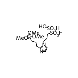 CO[Si](CCCc1nccn1CCCS(=O)(=O)O)(OC)OC.O=S(=O)(O)O